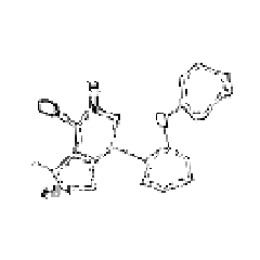 Cc1[nH]cc2c(-c3ccccc3Oc3ccccc3)c[nH]c(=O)c12